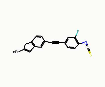 CCCC1=Cc2cc(C#Cc3ccc(N=C=S)c(F)c3)ccc2C1